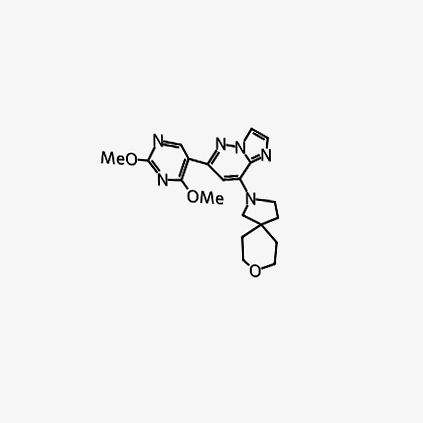 COc1ncc(-c2cc(N3CCC4(CCOCC4)C3)c3nccn3n2)c(OC)n1